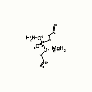 C=CCCP(=O)(ON)OCC=C.[MgH2]